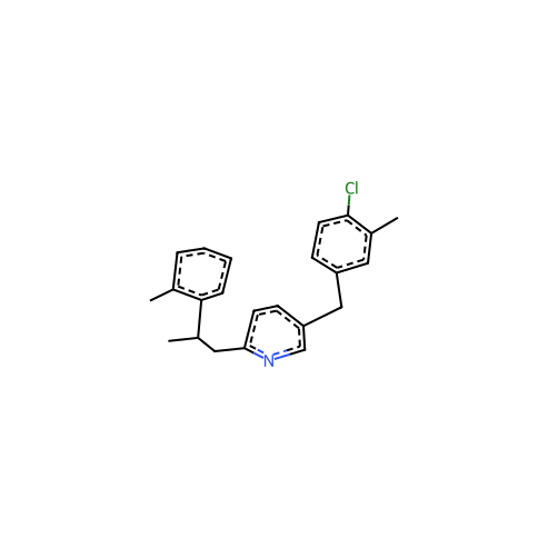 Cc1cc(Cc2ccc(CC(C)c3ccccc3C)nc2)ccc1Cl